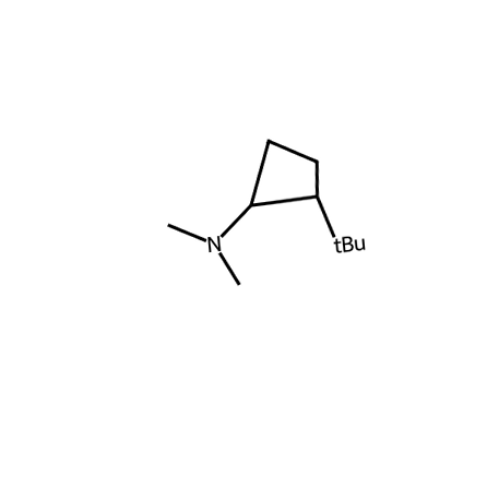 CN(C)C1CCC1C(C)(C)C